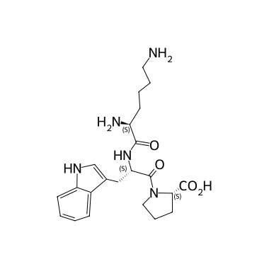 NCCCC[C@H](N)C(=O)N[C@@H](Cc1c[nH]c2ccccc12)C(=O)N1CCC[C@H]1C(=O)O